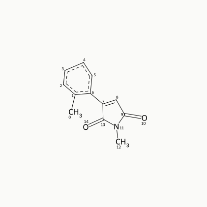 Cc1ccccc1C1=CC(=O)N(C)C1=O